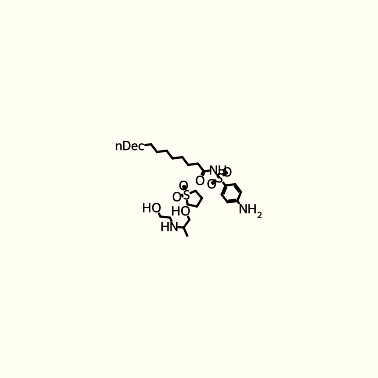 CC(CO)NCCO.CCCCCCCCCCCCCCCCCC(=O)NS(=O)(=O)c1ccc(N)cc1.O=S1(=O)CCCC1